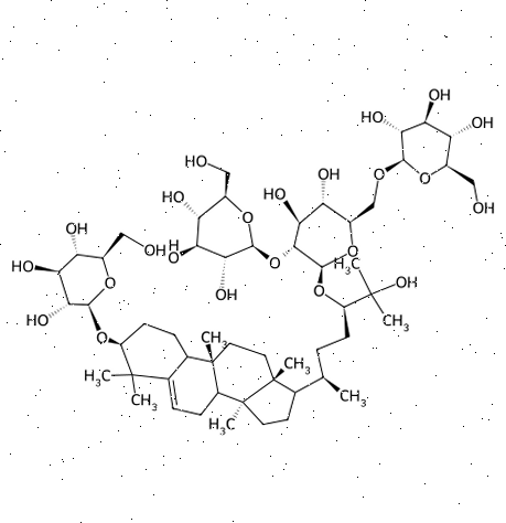 C[C@H](CC[C@@H](O[C@@H]1O[C@H](CO[C@@H]2O[C@H](CO)[C@@H](O)[C@H](O)[C@H]2O)[C@@H](O)[C@H](O)[C@H]1O[C@@H]1O[C@H](CO)[C@@H](O)[C@H](O)[C@H]1O)C(C)(C)O)C1CC[C@@]2(C)C3CC=C4C(CC[C@H](O[C@@H]5O[C@H](CO)[C@@H](O)[C@H](O)[C@H]5O)C4(C)C)[C@]3(C)CC[C@]12C